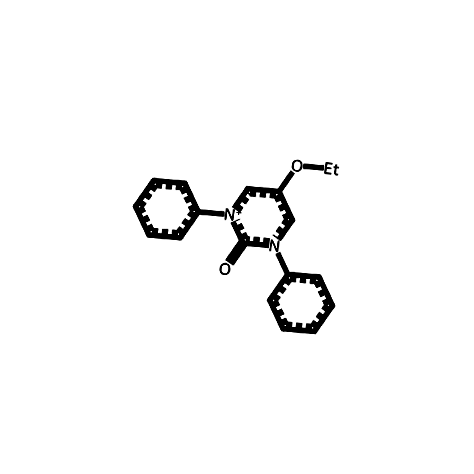 CCOc1cn(-c2ccccc2)c(=O)[n+](-c2ccccc2)c1